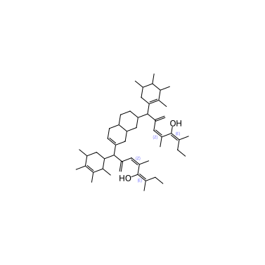 C=C(/C=C(C)\C(O)=C(\C)CC)C(C1=C(C)C(C)C(C)C(C)C1)C1CCC2CC=C(C(C(=C)/C=C(C)\C(O)=C(\C)CC)C3CC(C)C(C)=C(C)C3C)CC2C1